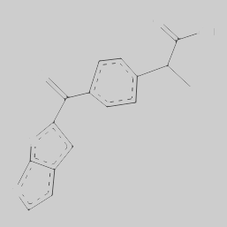 CC(C(=O)O)c1ccc(C(=O)c2cc3ccsc3s2)cc1